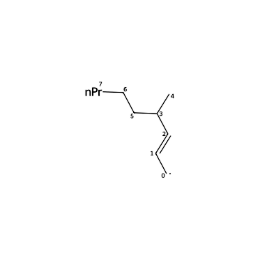 [CH2]/C=C/C(C)CCCCC